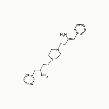 NC(=Cc1ccccc1)CCN1CCN(CCC(N)=Cc2ccccc2)CC1